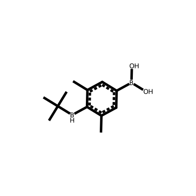 Cc1cc(B(O)O)cc(C)c1BC(C)(C)C